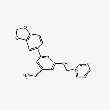 NCc1cc(-c2ccc3c(c2)OCO3)nc(NCc2cccnc2)n1